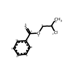 CC(Cl)COC(=S)c1ccccc1